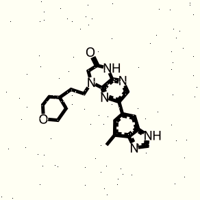 Cc1cc(-c2cnc3c(n2)N(CCC2CCOCC2)CC(=O)N3)cc2[nH]cnc12